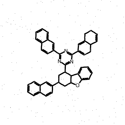 C1=CC2CC=C(c3nc(-c4ccc5ccccc5c4)nc(C4CC(c5ccc6ccccc6c5)CC5Oc6ccccc6C54)n3)C=C2CC1